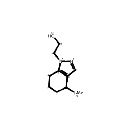 CNC1CCCc2c1cnn2CCO